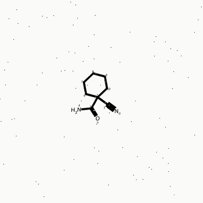 N#CC1(C(N)=O)CCCCC1